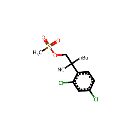 CCCCC(C#N)(COS(C)(=O)=O)c1ccc(Cl)cc1Cl